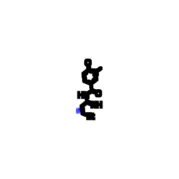 CC/C=C\C(=N)NC(=O)c1ccc(=O)n(C)c1